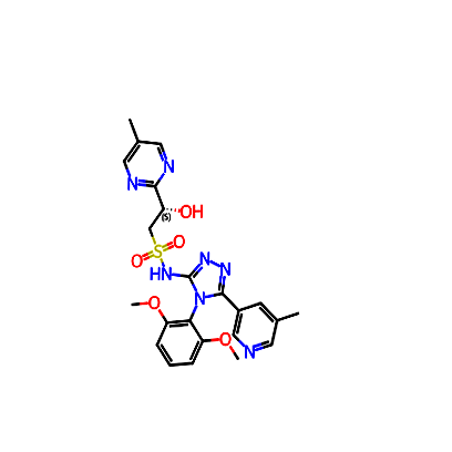 COc1cccc(OC)c1-n1c(NS(=O)(=O)C[C@@H](O)c2ncc(C)cn2)nnc1-c1cncc(C)c1